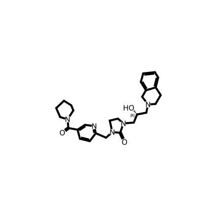 O=C(c1ccc(CN2CCN(C[C@H](O)CN3CCc4ccccc4C3)C2=O)nc1)N1CCCCC1